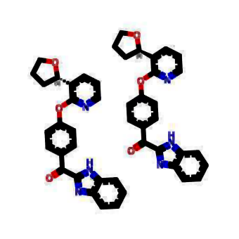 O=C(c1ccc(Oc2ncccc2[C@@H]2CCCO2)cc1)c1nc2ccccc2[nH]1.O=C(c1ccc(Oc2ncccc2[C@H]2CCCO2)cc1)c1nc2ccccc2[nH]1